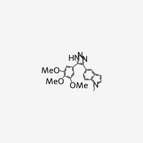 COc1cc(-c2[nH]nnc2-c2ccc3c(ccn3C)c2)cc(OC)c1OC